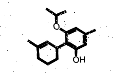 CC1=CC(c2c(O)cc(C)cc2OC(C)C)CCC1